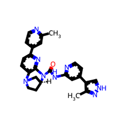 Cc1cc(-c2ccc3c(n2)N(C(=O)Nc2cc(-c4c[nH]nc4C)ccn2)[C@H]2CCN3C2)ccn1